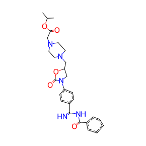 CC(C)OC(=O)CN1CCN(CC2CN(c3ccc(C(=N)NC(=O)c4ccccc4)cc3)C(=O)O2)CC1